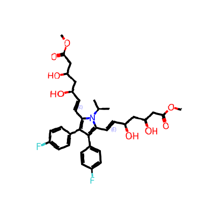 COC(=O)CC(O)CC(O)/C=C/c1c(-c2ccc(F)cc2)c(-c2ccc(F)cc2)c(/C=C/C(O)CC(O)CC(=O)OC)n1C(C)C